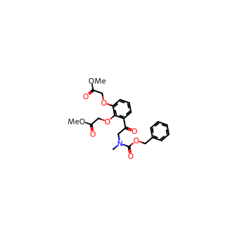 COC(=O)COc1cccc(C(=O)CN(C)C(=O)OCc2ccccc2)c1OCC(=O)OC